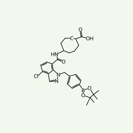 CC1(C)OB(c2ccc(Cn3ncc4c(Cl)ccc(C(=O)NC5CCCC(C(=O)O)CCC5)c43)cc2)OC1(C)C